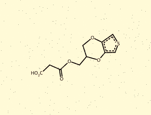 O=C(O)CC(=O)OCC1COc2cscc2O1